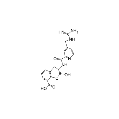 N=C(N)NCc1ccnc(C(=O)NC2Cc3cccc(C(=O)O)c3OB2O)c1